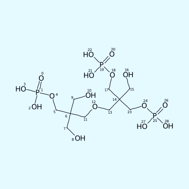 O=P(O)(O)OCC(CO)(CO)COCC(CO)(COP(=O)(O)O)COP(=O)(O)O